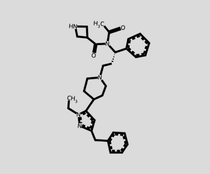 CCn1nc(Cc2ccccc2)cc1C1CCN(CC[C@@H](c2ccccc2)N(C(C)=O)C(=O)C2CNC2)CC1